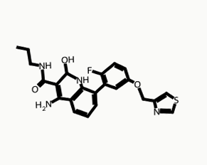 CCCNC(=O)C1=C(N)c2cccc(-c3cc(OCc4cscn4)ccc3F)c2NC1O